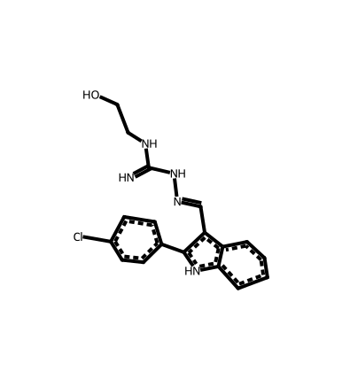 N=C(NCCO)NN=Cc1c(-c2ccc(Cl)cc2)[nH]c2ccccc12